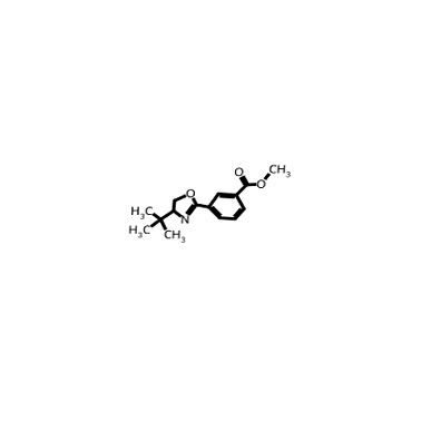 COC(=O)c1cccc(C2=NC(C(C)(C)C)CO2)c1